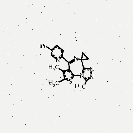 Cc1sc2c(c1C)C(c1ccc(C(C)C)cn1)=NC1(CC1)c1nnc(C)n1-2